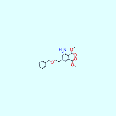 COC(=O)c1cc(CCOCc2ccccc2)cc(N)c1C(=O)OC